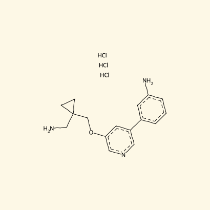 Cl.Cl.Cl.NCC1(COc2cncc(-c3cccc(N)c3)c2)CC1